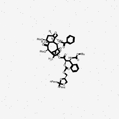 CCCCCC1(CCCCC)OC[C@H](COC(=O)O[C@@H](C(=O)O[C@H]2C[C@@]3(O)[C@@H](OC(=O)c4ccccc4)[C@@H]4[C@]5(OC(C)=O)CO[C@@H]5C[C@H](OC)[C@@]4(C)C(=O)[C@H](OC)C(=C2C)C3(C)C)[C@@H](NC(=O)OC(C)(C)C)c2ccccc2)O1